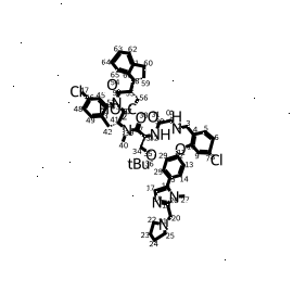 C[C@H](NCc1ccc(Cl)cc1Oc1ccc(-c2cnc(CN3CCCC3)n2C)cc1)C(=O)N[C@@H](COC(C)(C)C)C(=O)N(C)[C@H](Cc1ccc(Cl)cc1)CN(C)C(=O)[C@@H](CC(=O)O)[C@H]1CCc2ccccc21